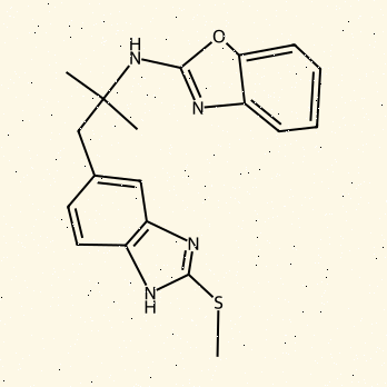 CSc1nc2cc(CC(C)(C)Nc3nc4ccccc4o3)ccc2[nH]1